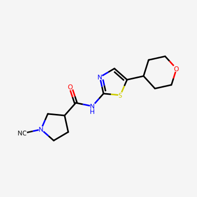 N#CN1CCC(C(=O)Nc2ncc(C3CCOCC3)s2)C1